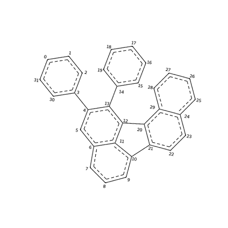 c1ccc(-c2cc3cccc4c3c(c2-c2ccccc2)-c2c-4ccc3ccccc23)cc1